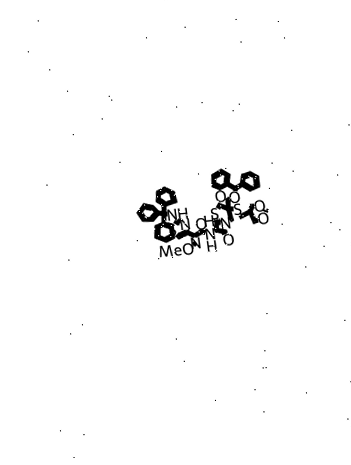 CON=C(C(=O)NC1C(=O)N2CC(SCC3COCOC3)(C(=O)OC(c3ccccc3)c3ccccc3)CS[C@H]12)c1csc(NC(c2ccccc2)(c2ccccc2)c2ccccc2)n1